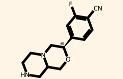 N#Cc1ccc([C@@H]2CN3CCNCC3CO2)cc1F